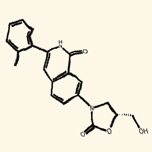 Cc1ccccc1-c1cc2ccc(N3C[C@H](CO)OC3=O)cc2c(=O)[nH]1